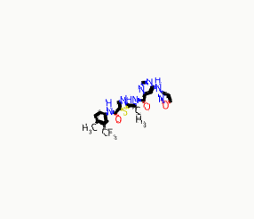 Cc1ccc(NC(=O)c2cnc([C@@H](C)NC(=O)c3cc(Nc4ccon4)ncn3)s2)cc1C(F)(F)F